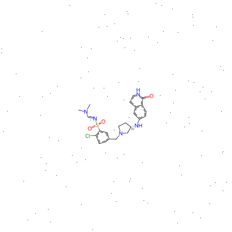 CN(C)/C=N/S(=O)(=O)c1cc(CN2CC[C@H](Nc3ccc4c(=O)[nH]ccc4c3)C2)ccc1Cl